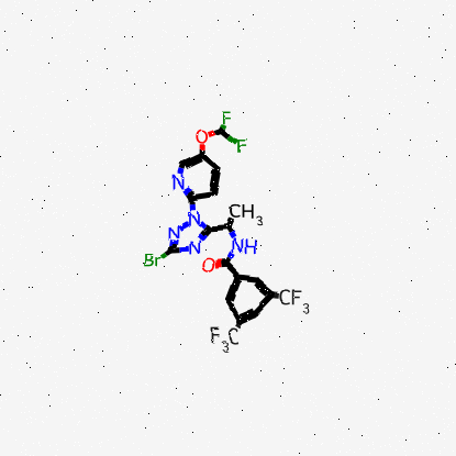 CC(NC(=O)c1cc(C(F)(F)F)cc(C(F)(F)F)c1)c1nc(Br)nn1-c1ccc(OC(F)F)cn1